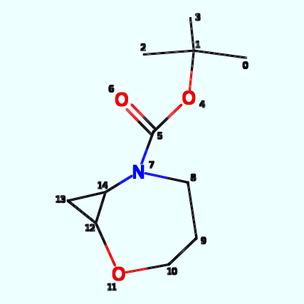 CC(C)(C)OC(=O)N1CCCOC2CC21